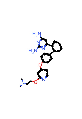 CN(C)CCOc1cc(Oc2ccc(-c3ccccc3-c3cc(N)nc(N)n3)cc2)ccn1